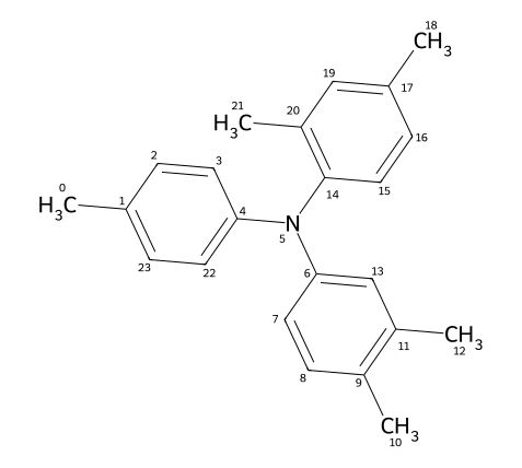 Cc1ccc(N(c2ccc(C)c(C)c2)c2ccc(C)cc2C)cc1